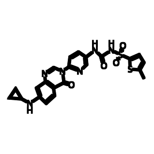 Cc1ccc(S(=O)(=O)NC(=O)Nc2ccc(-n3cnc4cc(NC5CC5)ccc4c3=O)nc2)s1